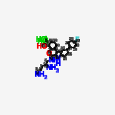 Cl.Cl.NCCC[C@H](N)CNC(=O)c1[nH]c2ccc(-c3ccc(F)cc3)cc2c1-c1cccc(O)c1